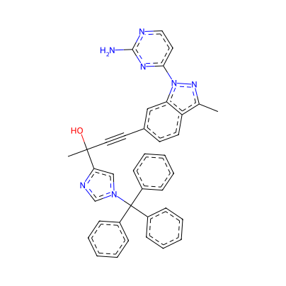 Cc1nn(-c2ccnc(N)n2)c2cc(C#CC(C)(O)c3cn(C(c4ccccc4)(c4ccccc4)c4ccccc4)cn3)ccc12